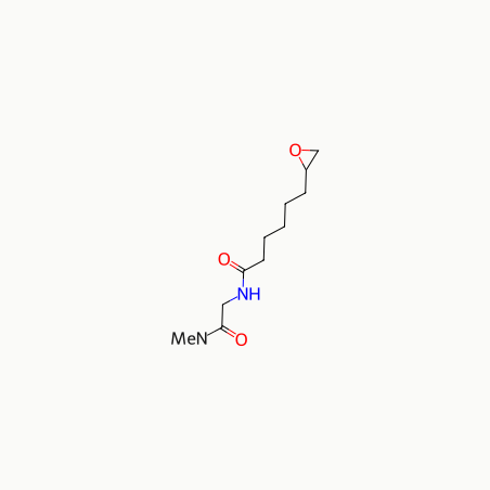 CNC(=O)CNC(=O)CCCCCC1CO1